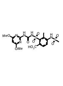 COc1cc(OC)nc(NC(=O)NS(=O)(=O)c2c(C(=O)O)ccc(NS(C)(=O)=O)c2C)n1